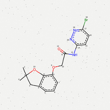 CC1(C)Cc2cccc(OCC(=O)Nc3ccc(Br)nn3)c2O1